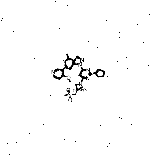 COc1ccncc1-c1cc2c(cnn2-c2cc(N3C[C@H](CS(C)(=O)=O)[C@H]3C)nc(C3=CCCC3)n2)c(C)n1